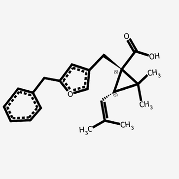 CC(C)=C[C@H]1C(C)(C)[C@@]1(Cc1coc(Cc2ccccc2)c1)C(=O)O